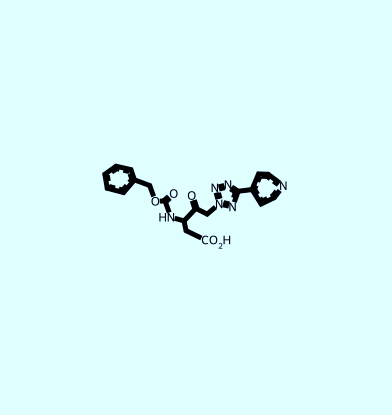 O=C(O)CC(NC(=O)OCc1ccccc1)C(=O)Cn1nnc(-c2ccncc2)n1